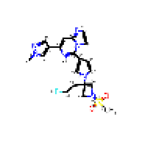 Cn1cc(-c2cc3nccn3c(-c3ccn(C4(CCF)CN(S(=O)(=O)C(F)(F)F)C4)c3)n2)cn1